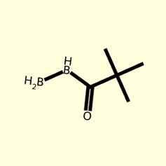 BBC(=O)C(C)(C)C